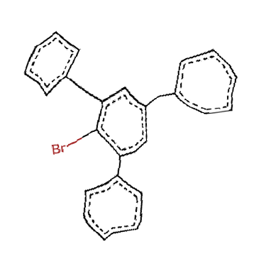 Brc1c(-c2ccccc2)cc(-c2ccccc2)cc1-c1ccccc1